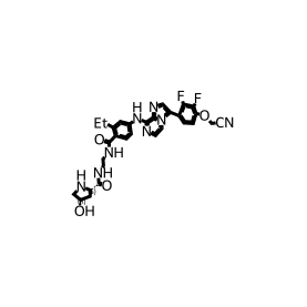 CCc1cc(Nc2nccn3c(-c4ccc(OCC#N)c(F)c4F)cnc23)ccc1C(=O)NCCNC(=O)[C@@H]1C[C@@H](O)CN1